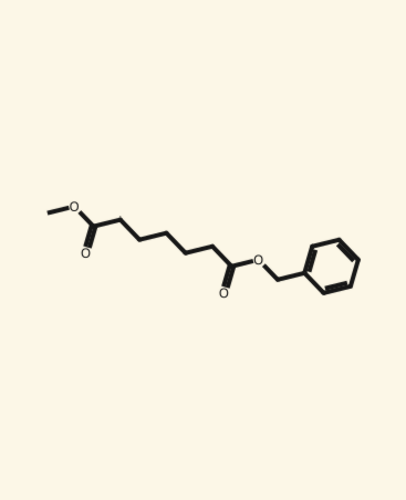 COC(=O)[CH]CCCCC(=O)OCc1ccccc1